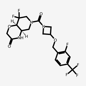 O=C1CO[C@@H]2[C@@H](CN(C(=O)N3CC(OCc4ccc(C(F)(F)F)cc4F)C3)CC2(F)F)N1